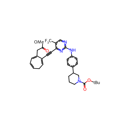 COC(=O)CC1=CC=CCC=C1C#Cc1nc(Nc2ccc(C3CCCN(C(=O)OC(C)(C)C)C3)cc2)ncc1C(F)(F)F